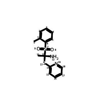 Cc1ccccc1S(=O)(=O)C(C)(N)Sc1ccccn1